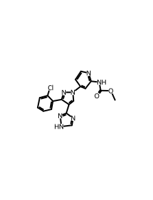 COC(=O)Nc1cc(-n2cc(-c3nc[nH]n3)c(-c3ccccc3Cl)n2)ccn1